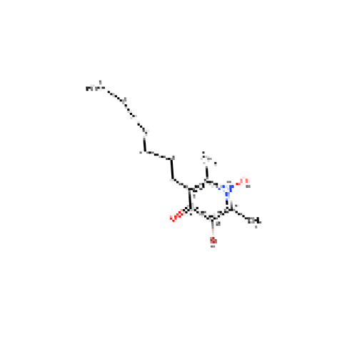 CCCCCCCCCCCCCCCCc1c(C)n(O)c(C)c(Br)c1=O